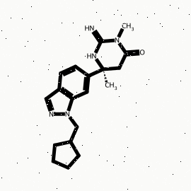 CN1C(=N)N[C@](C)(c2ccc3cnn(CC4CCCC4)c3c2)CC1=O